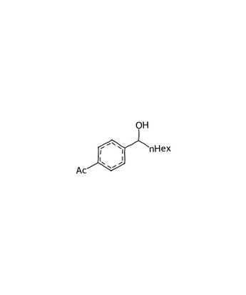 CCCCCCC(O)c1ccc(C(C)=O)cc1